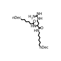 CCCCCCCCCCCCCCCCNC(=O)C(CCNC(=N)N)NC(=O)CCCCCCCCCCCCCCC